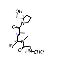 C/C(=C\[C@H](C(C)C)N(C)C(=O)CNC=O)C(=O)N1CCC[C@H]1CO